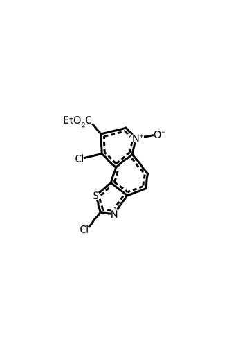 CCOC(=O)c1c[n+]([O-])c2ccc3nc(Cl)sc3c2c1Cl